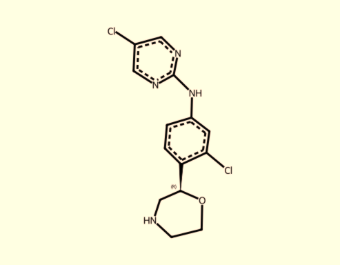 Clc1cnc(Nc2ccc([C@@H]3CNCCO3)c(Cl)c2)nc1